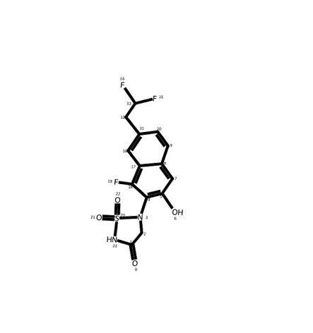 O=C1CN(c2c(O)cc3ccc(CC(F)F)cc3c2F)S(=O)(=O)N1